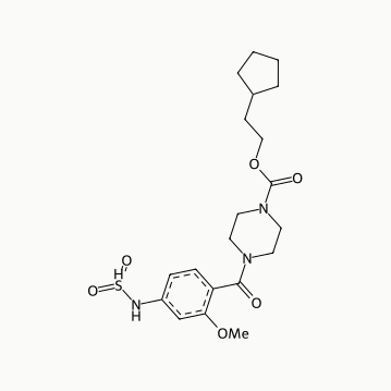 COc1cc(N[SH](=O)=O)ccc1C(=O)N1CCN(C(=O)OCCC2CCCC2)CC1